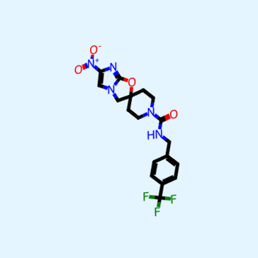 O=C(NCc1ccc(C(F)(F)F)cc1)N1CCC2(CC1)Cn1cc([N+](=O)[O-])nc1O2